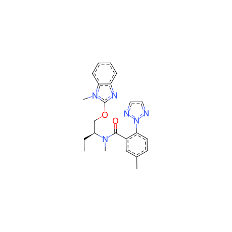 CC[C@@H](COc1nc2ccccc2n1C)N(C)C(=O)c1cc(C)ccc1-n1nccn1